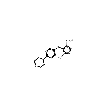 Cn1nnc(C(=O)O)c1Oc1ccc(C2CCSCC2)cc1